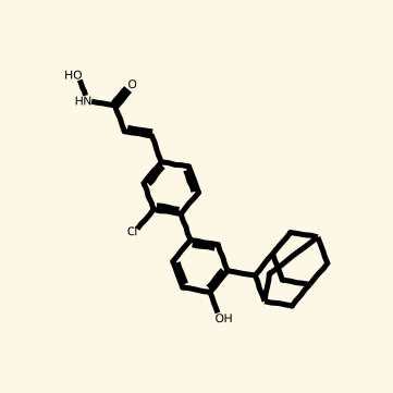 O=C(/C=C/c1ccc(-c2ccc(O)c(C3C4CC5CC(C4)CC3C5)c2)c(Cl)c1)NO